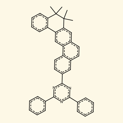 CC1(C)c2ccccc2-c2cc3c(ccc4cc(-c5nc(-c6ccccc6)nc(-c6ccccc6)n5)ccc43)cc2C1(C)C